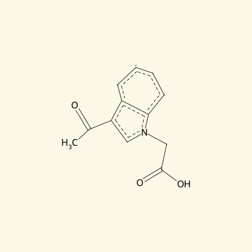 CC(=O)c1cn(CC(=O)O)c2cc[c]cc12